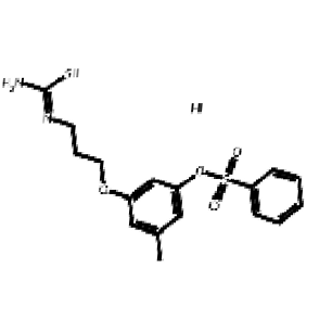 Cc1cc(OCCCN=C(N)S)cc(OS(=O)(=O)c2ccccc2)c1.I